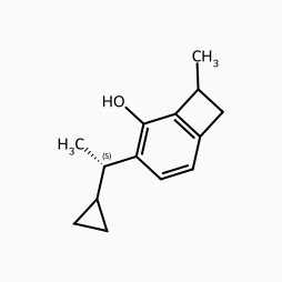 CC1Cc2ccc([C@@H](C)C3CC3)c(O)c21